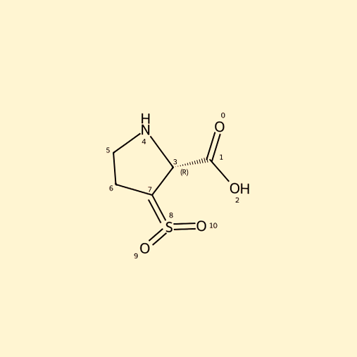 O=C(O)[C@H]1NCCC1=S(=O)=O